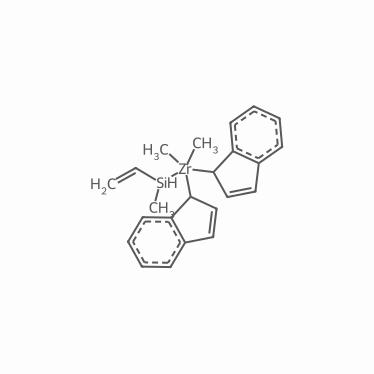 C=C[SiH](C)[Zr]([CH3])([CH3])([CH]1C=Cc2ccccc21)[CH]1C=Cc2ccccc21